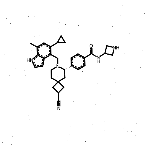 Cc1cc(C2CC2)c(CN2CCC3(CC(C#N)C3)C[C@H]2c2ccc(C(=O)NC3CNC3)cc2)c2cc[nH]c12